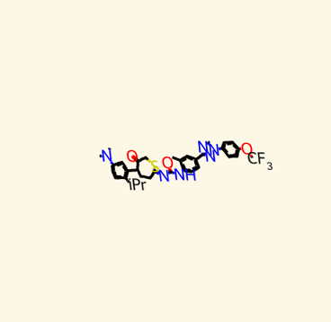 Cc1cc(-c2ncn(-c3ccc(OC(F)(F)F)cc3)n2)ccc1NC(=O)/N=C1/CCC(c2cc(N(C)C)ccc2C(C)C)C(=O)CS1